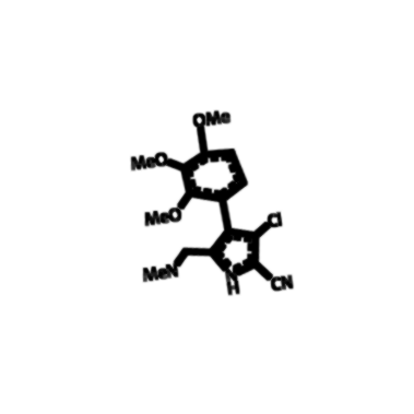 CNCc1[nH]c(C#N)c(Cl)c1-c1ccc(OC)c(OC)c1OC